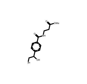 COC(=O)CCNC(=O)c1ccc(C(O)CC(C)C)cc1